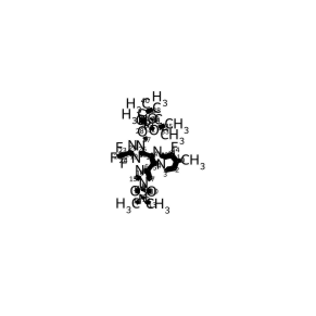 Cc1ccn2c(-c3cn(S(=O)(=O)N(C)C)cn3)c(-c3nc(C(F)(F)F)nn3COP(=O)(OC(C)(C)C)OC(C)(C)C)nc2c1F